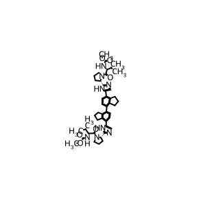 COC(=O)N[C@H](C(=O)N1CCC[C@H]1c1ncc(-c2ccc(-c3ccc(-c4cnc([C@@H]5CCCN5C(=O)[C@@H](NC(=O)OC)C(C)C)[nH]4)c4c3CCC4)c3c2CCC3)[nH]1)C(C)C